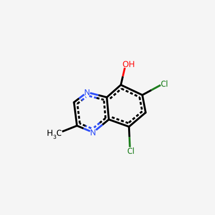 Cc1cnc2c(O)c(Cl)cc(Cl)c2n1